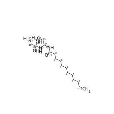 CCCCCCCCCCCC(=O)NC(CC)NC(O)(O)CC